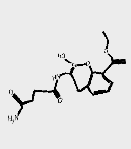 C=C(OCC)c1cccc2c1OB(O)C(NC(=O)CCC(N)=O)C2